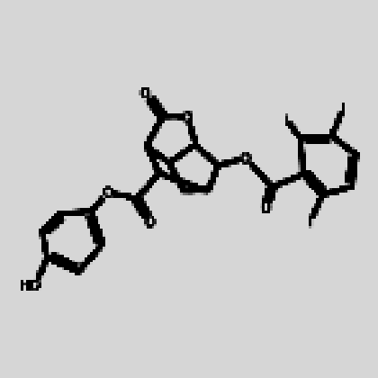 O=C(OC1C2CC3C1OC(=O)C3C2C(=O)Oc1ccc(O)cc1)c1c(I)ccc(I)c1I